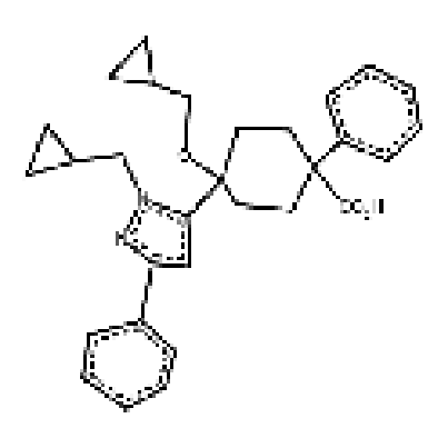 O=C(O)C1(c2ccccc2)CCC(OCC2CC2)(c2cc(-c3ccccc3)nn2CC2CC2)CC1